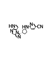 N#Cc1ccc(N[C@@H]2CC[C@H](c3ncc4cnc5[nH]ccc5n34)C2)nc1